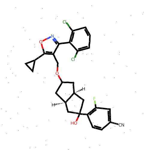 N#Cc1ccc(C2(O)C[C@H]3CC(OCc4c(-c5c(Cl)cccc5Cl)noc4C4CC4)C[C@H]3C2)c(F)c1